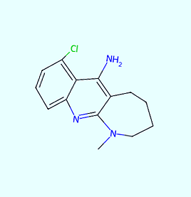 CN1CCCCc2c1nc1cccc(Cl)c1c2N